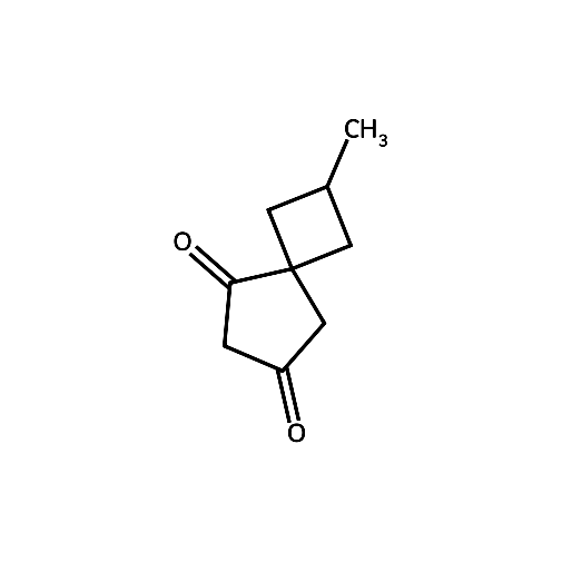 CC1CC2(CC(=O)CC2=O)C1